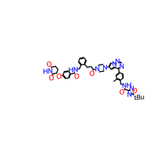 Cc1cc(-c2ncnn3cc(N4CCN(C(=O)CCc5ccccc5CNC(=O)c5ccc(OC6CCC(=O)NC6=O)cc5)CC4)cc23)ccc1CNC(=O)c1noc(C(C)(C)C)n1